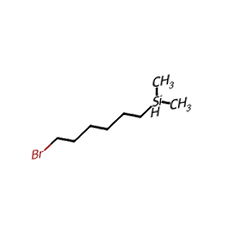 C[SiH](C)CCCCCCBr